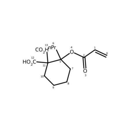 C=CC(=O)OC1(CCC)CCCCC1(C(=O)O)C(=O)O